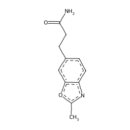 Cc1nc2ccc(CCC(N)=O)cc2o1